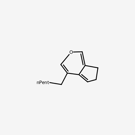 CCCCCCC1=COC=C2CCC=C21